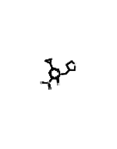 O=c1c([N+](=O)[O-])cc(C2CC2)cn1CC1CCOC1